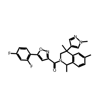 Cc1ccc2c(c1)C(C)(c1cnn(C)c1)CN(C(=O)c1cc(-c3ccc(F)cc3F)on1)C2C